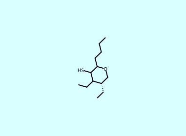 CCCCC1OC[C@H](CC)C(CC)C1S